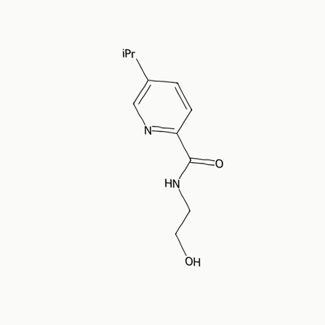 CC(C)c1ccc(C(=O)NCCO)nc1